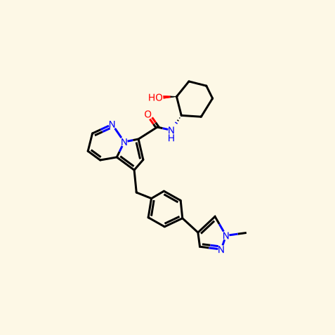 Cn1cc(-c2ccc(Cc3cc(C(=O)N[C@H]4CCCC[C@@H]4O)n4ncccc34)cc2)cn1